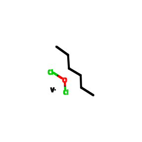 CCCCCC.ClOCl.[V]